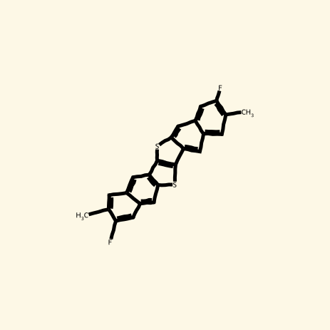 Cc1cc2cc3c(cc2cc1F)sc1c2cc4cc(C)c(F)cc4cc2sc31